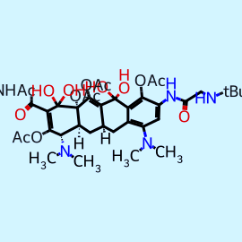 CC(=O)NC(=O)C1=C(OC(C)=O)[C@@H](N(C)C)[C@@H]2C[C@@H]3Cc4c(N(C)C)cc(NC(=O)CNC(C)(C)C)c(OC(C)=O)c4C(O)(O)C3=C(OC(C)=O)[C@]2(OC(C)=O)C1(O)O